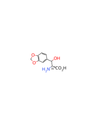 N[C@H](C(=O)O)C(O)c1ccc2c(c1)OCO2